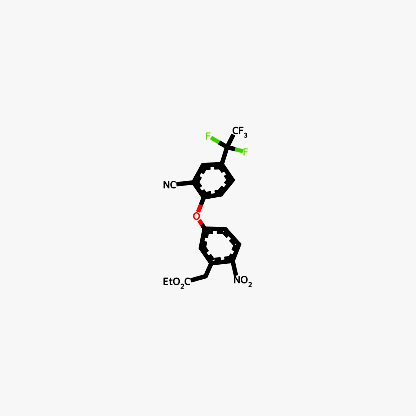 CCOC(=O)Cc1cc(Oc2ccc(C(F)(F)C(F)(F)F)cc2C#N)ccc1[N+](=O)[O-]